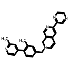 Cc1cc(-c2ccc(CN3C=Cc4cc(-c5cnccn5)ncc4C3)cc2C)ccn1